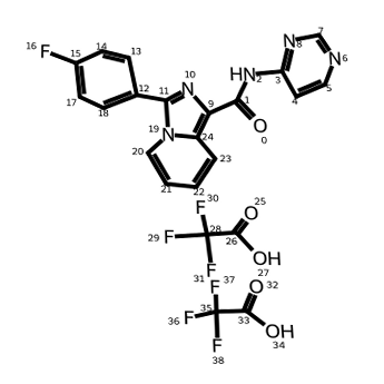 O=C(Nc1ccncn1)c1nc(-c2ccc(F)cc2)n2ccccc12.O=C(O)C(F)(F)F.O=C(O)C(F)(F)F